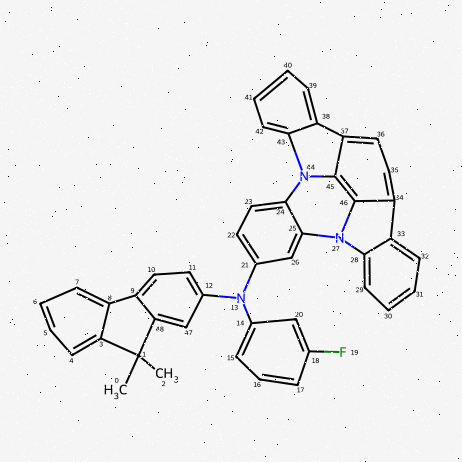 CC1(C)c2ccccc2-c2ccc(N(c3cccc(F)c3)c3ccc4c(c3)n3c5ccccc5c5ccc6c7ccccc7n4c6c53)cc21